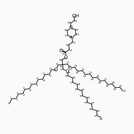 CCCCCCCCCCCCCCOCC(COCCCCCCCCCCCCCC)(COCCCCCCCCCCCCCC)COC(=O)CCCN1CCN(CCO)CC1